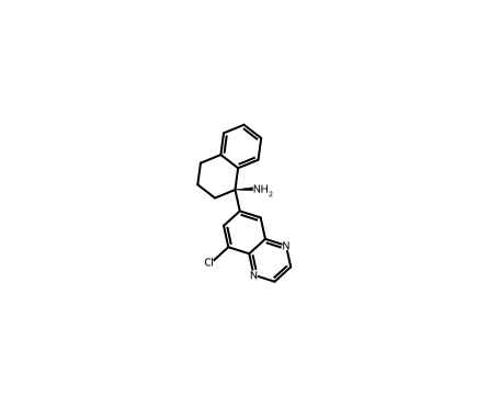 N[C@@]1(c2cc(Cl)c3nccnc3c2)CCCc2ccccc21